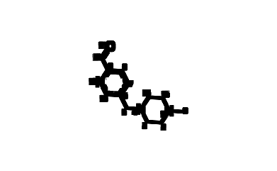 CN1CCN(Cc2ccc(C=O)nc2)CC1